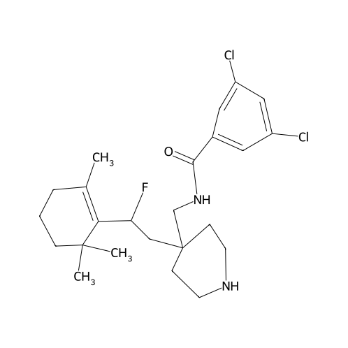 CC1=C(C(F)CC2(CNC(=O)c3cc(Cl)cc(Cl)c3)CCNCC2)C(C)(C)CCC1